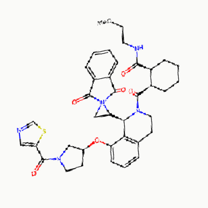 COCCNC(=O)[C@H]1CCCC[C@H]1C(=O)N1CCc2cccc(O[C@H]3CCN(C(=O)c4cncs4)C3)c2[C@H]1C1C[N+]12C(=O)c1ccccc1C2=O